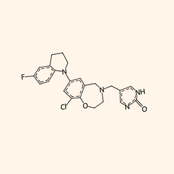 O=c1ncc(CN2CCOc3c(Cl)cc(N4CCCc5cc(F)ccc54)cc3C2)c[nH]1